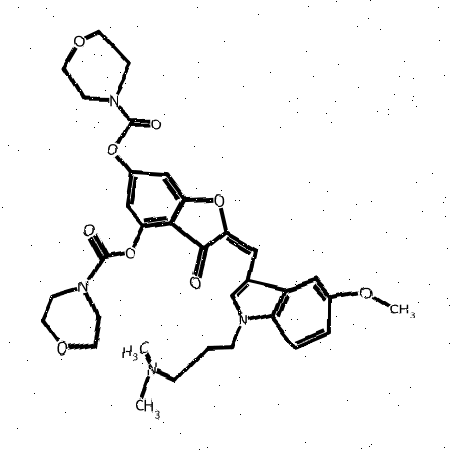 COc1ccc2c(c1)c(C=C1Oc3cc(OC(=O)N4CCOCC4)cc(OC(=O)N4CCOCC4)c3C1=O)cn2CCCN(C)C